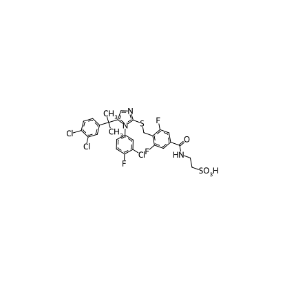 CC(C)(c1ccc(Cl)c(Cl)c1)c1cnc(SCc2c(F)cc(C(=O)NCCS(=O)(=O)O)cc2F)n1-c1ccc(F)c(Cl)c1